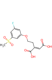 CS(=O)(=O)c1cc(F)cc(OCC/C(=C\C(=O)O)C(=O)O)c1